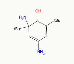 CC(C)(C)C1=CC(N)=CC(N)(C(C)(C)C)C1O